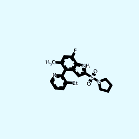 CCc1cccnc1-c1c(C)cc(F)c2[nH]c(S(=O)(=O)N3CCCC3)cc12